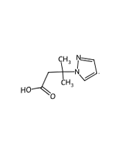 CC(C)(CC(=O)O)n1c[c]cn1